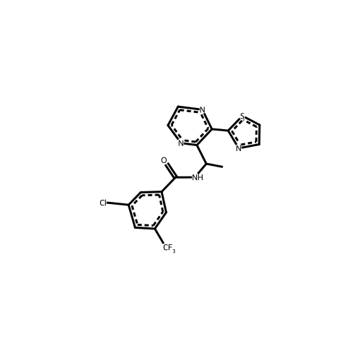 CC(NC(=O)c1cc(Cl)cc(C(F)(F)F)c1)c1nccnc1-c1nccs1